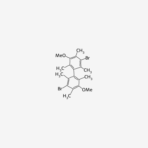 COc1c(C)c(Br)c(C)c(-c2c(C)c(Br)c(C)c(OC)c2C)c1C